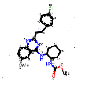 COc1ccc2nc(/C=C/c3ccc(Cl)cc3)nc(NC3CCCCC3NC(=O)OC(C)(C)C)c2c1